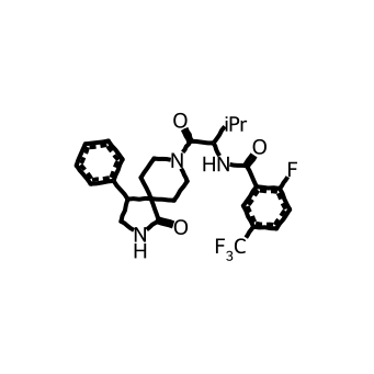 CC(C)C(NC(=O)c1cc(C(F)(F)F)ccc1F)C(=O)N1CCC2(CC1)C(=O)NCC2c1ccccc1